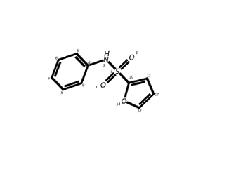 O=S(=O)(Nc1cc[c]cc1)c1ccco1